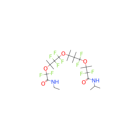 CCNC(=O)C(F)(F)OC(C)(C)C(F)(F)C(F)(F)OC(C)(C)C(C)(C)C(F)(F)OC(C)(C)C(F)(F)C(=O)NC(C)C